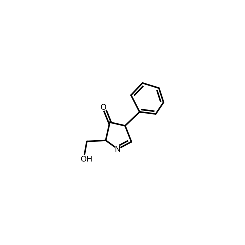 O=C1C(CO)N=CC1c1ccccc1